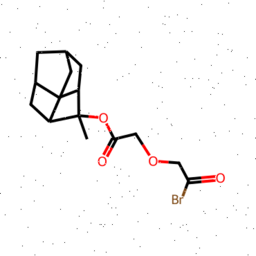 CC1(OC(=O)COCC(=O)Br)C2CC3CC(C2)CC1C3